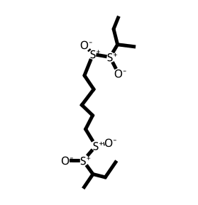 CCC(C)[S+]([O-])[S+]([O-])CCCCC[S+]([O-])[S+]([O-])C(C)CC